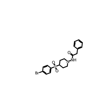 O=C(Cc1ccccc1)NN1CCC(S(=O)(=O)c2ccc(Br)cc2)CC1